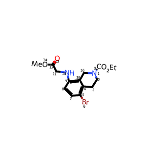 CCOC(=O)N1CCc2c(Br)ccc(NCC(=O)OC)c2C1